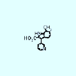 Cc1cccc2c(-c3cccnc3)c(C(=O)O)[nH]c12